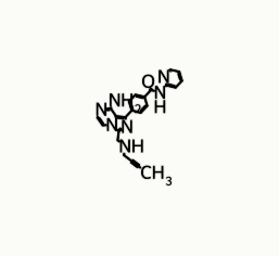 CC#CCNCc1nc(-c2ccc(C(=O)Nc3ccccn3)cc2)c2c(N)nccn12